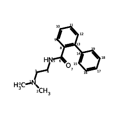 CN(C)CCNC(=O)c1[c]cccc1-c1ccccc1